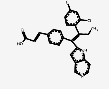 CC/C(=C(/c1ccc(/C=C/C(=O)O)cc1)c1cc2cnccc2[nH]1)c1ccc(F)cc1Cl